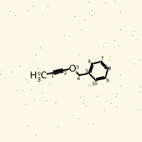 CC#COCc1ccccc1